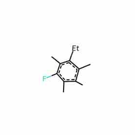 CCc1c(C)c(C)c(C)c(F)c1C